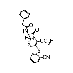 N#Cc1ccccc1SC1=C(C(=O)O)N2C(=O)[C@@H](NC(=O)Cc3ccccc3)[C@H]2SC1